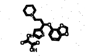 O=C(O)C(=O)O.c1csc(C(CCN2CCCCC2)Oc2cccc3c2OCO3)c1